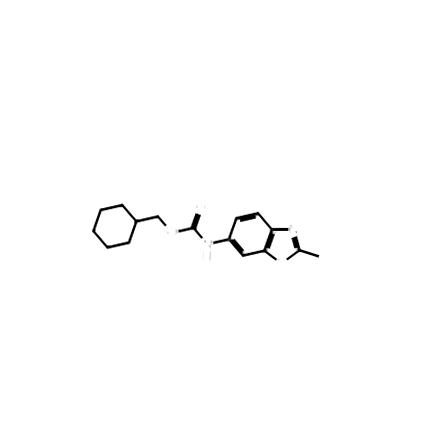 Cc1nc2ccc(NC(=O)OCC3CCCCC3)cc2s1